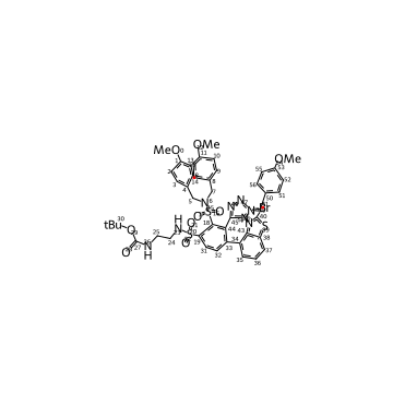 COc1ccc(CN(Cc2ccc(OC)cc2)S(=O)(=O)c2c(S(=O)(=O)NCCNC(=O)OC(C)(C)C)ccc(-c3cccc4sc(Br)nc34)c2-c2nnn(Cc3ccc(OC)cc3)n2)cc1